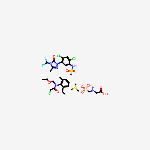 CCOCN(C(=O)CCl)c1c(C)cccc1CC.C[S+](C)C.Cc1nn(-c2cc(NS(C)(=O)=O)c(Cl)cc2Cl)c(=O)n1C(F)F.O=C(O)CNCP(=O)([O-])O